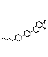 CCCCC[C@H]1CC[C@H](c2ccc(-c3ccc4c(F)c(F)ccc4c3)cc2)CC1